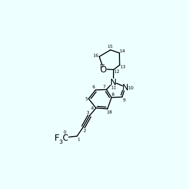 FC(F)(F)CC#Cc1ccc2c(cnn2C2CCCCO2)c1